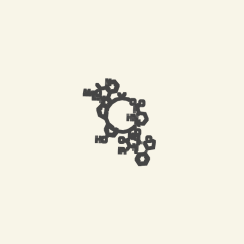 CCn1c(-c2cccnc2[C@H](C)OC)c2c3cc(ccc31)-c1cc(O)cc(c1)C[C@H](NC(=O)[C@H](C(C)C)N(C)C(=O)[C@@H]1OCC[C@@H]1c1ccccc1)C(=O)N1CCC[C@H](N1)C(=O)OCC(C)(C)C2